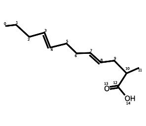 CCCC=CCCC=CCC(C)C(=O)O